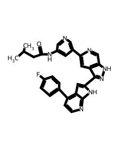 CC(C)CC(=O)Nc1cncc(-c2cc3c(-c4cc5c(-c6ccc(F)cc6)ccnc5[nH]4)n[nH]c3cn2)c1